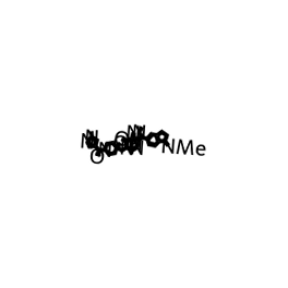 CNC1CCc2cc(-c3c4ncn(CC5(O)CCN(C(=O)c6cnn(C)c6)CC5)c(=O)c4nn3C)ccc21